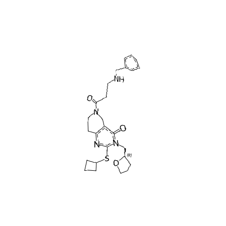 O=C(CCNCc1ccccc1)N1CCc2nc(SC3CCC3)n(C[C@H]3CCCO3)c(=O)c2C1